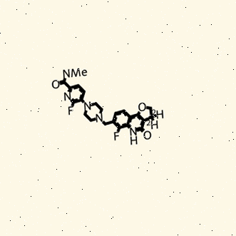 [2H]C1([2H])COc2c1c(=O)[nH]c1c(F)c(CN3CCN(c4ccc(C(=O)NC)nc4F)CC3)ccc21